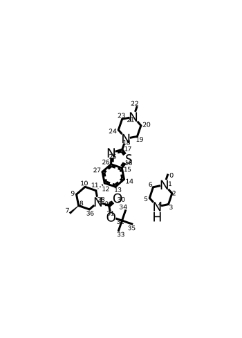 CN1CCNCC1.C[C@H]1CC[C@H](c2ccc3sc(N4CCN(C)CC4)nc3c2)N(C(=O)OC(C)(C)C)C1